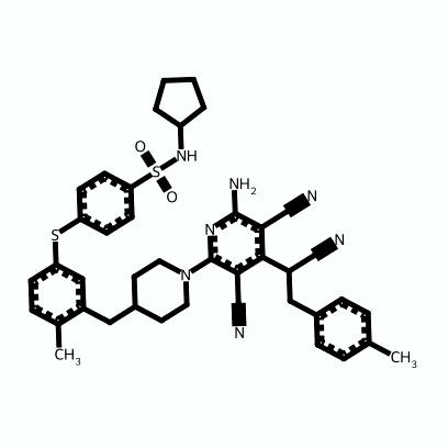 Cc1ccc(CC(C#N)c2c(C#N)c(N)nc(N3CCC(Cc4cc(Sc5ccc(S(=O)(=O)NC6CCCC6)cc5)ccc4C)CC3)c2C#N)cc1